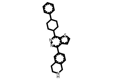 c1ccc(C2CCC(c3nnc(-c4ccc5c(c4)CCNC5)c4ccsc34)CC2)cc1